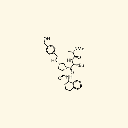 CN[C@@H](C)C(=O)N[C@H](C(=O)N1C[C@@H](NCc2ccc(CO)cc2)C[C@H]1C(=O)N[C@@H]1CCCc2ccccc21)C(C)(C)C